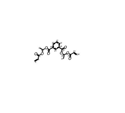 C=CC(=O)OC(C)OC(=O)c1cccc(C(=O)OC(C)OC(=O)C=C)c1